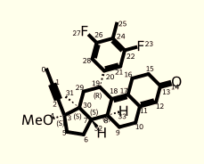 CC#C[C@]1(OC)CC[C@H]2[C@@H]3CCC4=CC(=O)CCC4=C3[C@@H](c3cc(F)c(C)c(F)c3)C[C@@]21C